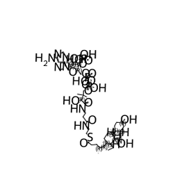 C[C@H](CCC(=O)SCCNC(=O)CCNC(=O)[C@H](O)C(C)(C)COP(=O)(O)OP(=O)(O)OC[C@H]1O[C@@H](n2cnc3c(N)ncnc32)[C@H](O)[C@@H]1OP(=O)(O)O)[C@H]1CC[C@H]2[C@@H]3[C@H](O)C[C@@H]4C[C@H](O)CC[C@]4(C)[C@H]3CC[C@]12C